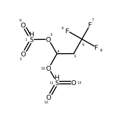 O=[SH](=O)OC(CC(F)(F)F)O[SH](=O)=O